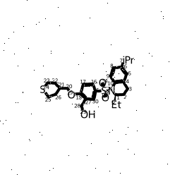 CC[C@@H]1CCc2cc(C(C)C)ccc2N1S(=O)(=O)c1ccc(OCC2CCSCC2)c(CO)c1